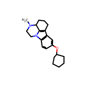 CN1CCn2c3c(c4cc(OC5CCCCC5)ccc42)CCCC31